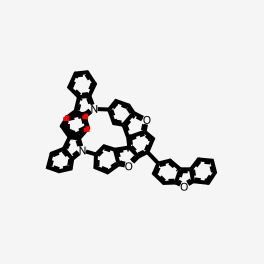 c1ccc2c(c1)oc1ccc(-c3cc4oc5ccc(-n6c7ccccc7c7ccccc76)cc5c4c4c3oc3ccc(-n5c6ccccc6c6ccccc65)cc34)cc12